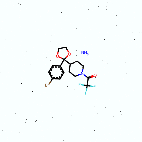 N.O=C(N1CCC(C2(c3ccc(Br)cc3)OCCO2)CC1)C(F)(F)F